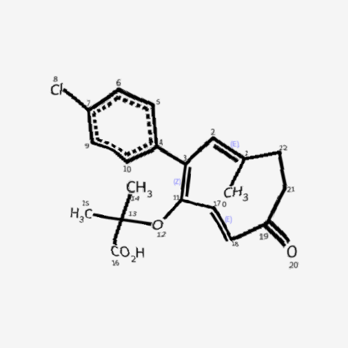 C\C1=C/C(c2ccc(Cl)cc2)=C(OC(C)(C)C(=O)O)\C=C\C(=O)CC1